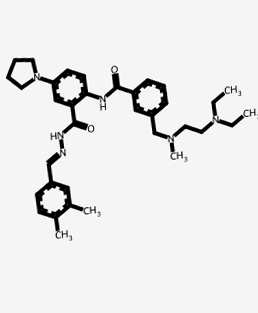 CCN(CC)CCN(C)Cc1cccc(C(=O)Nc2ccc(N3CCCC3)cc2C(=O)N/N=C/c2ccc(C)c(C)c2)c1